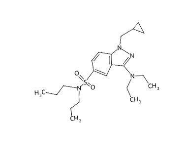 CCCN(CCC)S(=O)(=O)c1ccc2c(c1)c(N(CC)CC)nn2CC1CC1